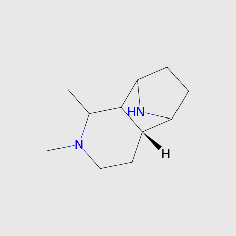 CC1C2C3CCC(N3)[C@@H]2CCN1C